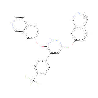 FC(F)(F)c1ccc(-c2cc(Oc3ccc4ccncc4c3)nnc2Oc2ccc3ccncc3c2)cc1